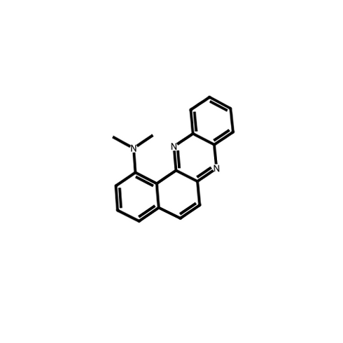 CN(C)c1cccc2ccc3nc4ccccc4nc3c12